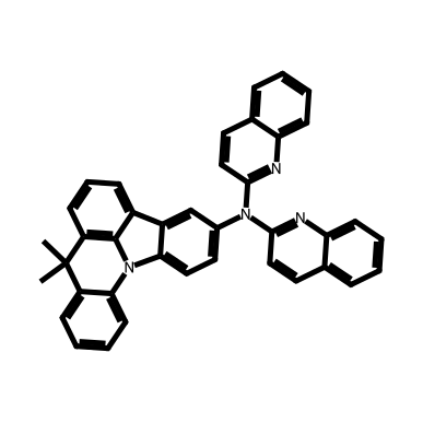 CC1(C)c2ccccc2-n2c3ccc(N(c4ccc5ccccc5n4)c4ccc5ccccc5n4)cc3c3cccc1c32